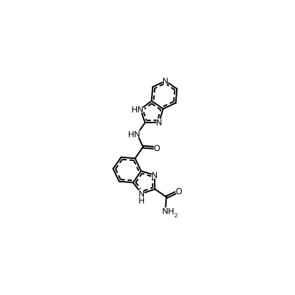 NC(=O)c1nc2c(C(=O)Nc3nc4ccncc4[nH]3)cccc2[nH]1